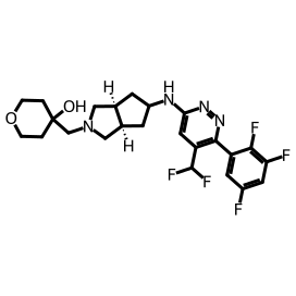 OC1(CN2C[C@H]3CC(Nc4cc(C(F)F)c(-c5cc(F)cc(F)c5F)nn4)C[C@H]3C2)CCOCC1